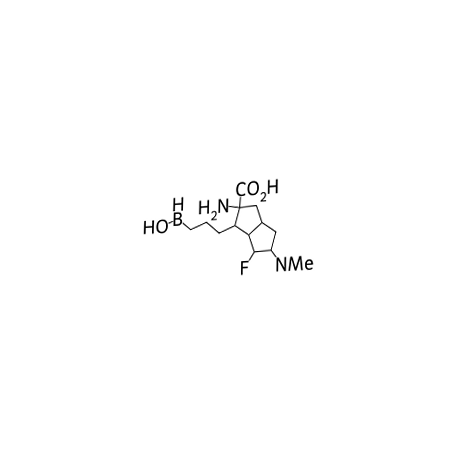 CNC1CC2CC(N)(C(=O)O)C(CCCBO)C2C1F